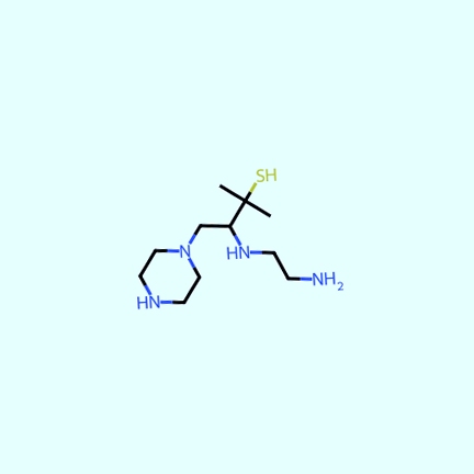 CC(C)(S)C(CN1CCNCC1)NCCN